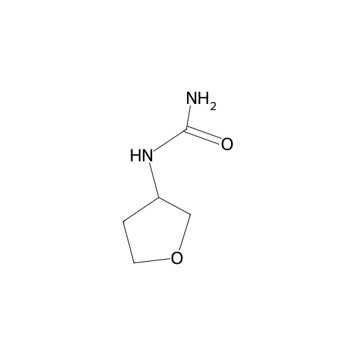 NC(=O)NC1CCOC1